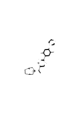 C=C(c1cnc(-c2cc(F)c(-n3ccnc3)cc2O)nn1)[C@H]1C[C@]2(C)CC[C@](C)(C1)N2